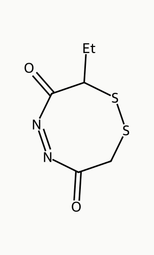 CCC1SSCC(=O)/N=N\C1=O